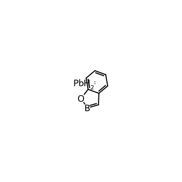 [PbH2].b1cc2ccccc2o1